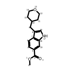 COC(=O)c1ccc2c(CC3CCOCC3)c[nH]c2c1